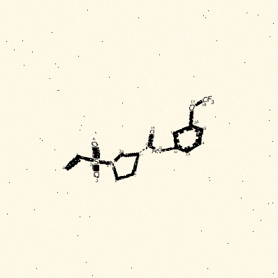 C=CS(=O)(=O)N1CC[C@@H](C(=O)Nc2cccc(OC(F)(F)F)c2)C1